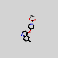 Cc1ccc2nccc(OC3CCN(C(=O)OC(C)(C)C)CC3)c2c1